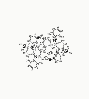 Cc1ccccc1N(c1cc(-c2ccccc2)c([Si](C)(C)C)cc1C)c1cc(C(C)C)c2ccc3c(N(c4ccccc4C)c4cc(-c5ccccc5)c([Si](C)(C)C)cc4C)cc(C(C)C)c4ccc1c2c43